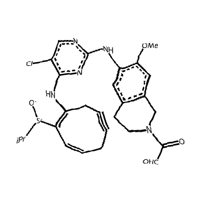 COc1cc2c(cc1Nc1ncc(Cl)c(N/C3=C([S+]([O-])C(C)C)/C=C\CC#CC3)n1)CCN(C(=O)C=O)C2